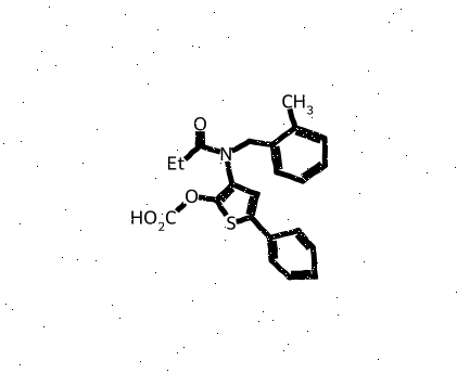 CCC(=O)N(Cc1ccccc1C)c1cc(-c2ccccc2)sc1OC(=O)O